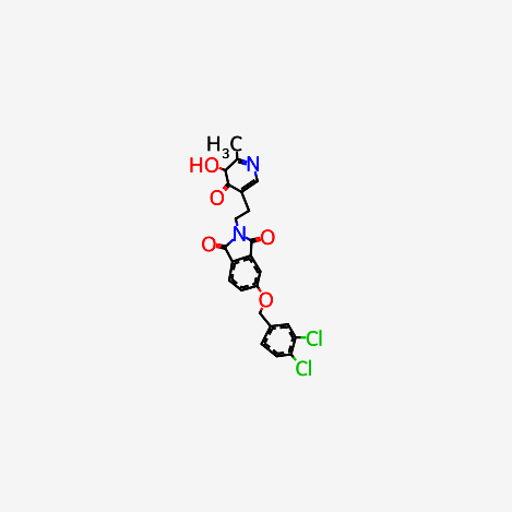 CC1=NC=C(CCN2C(=O)c3ccc(OCc4ccc(Cl)c(Cl)c4)cc3C2=O)C(=O)C1O